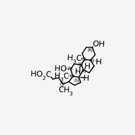 C[C@H](CCC(=O)O)C1CC[C@H]2[C@@H]3CC[C@@H]4C[C@H](O)CC[C@]4(C)[C@H]3C[C@@H](O)[C@]12C